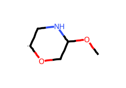 COC1CO[CH]CN1